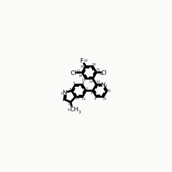 CC1C=Nc2ccc(-c3cccnc3-c3cc(Cl)c(F)cc3Cl)cc21